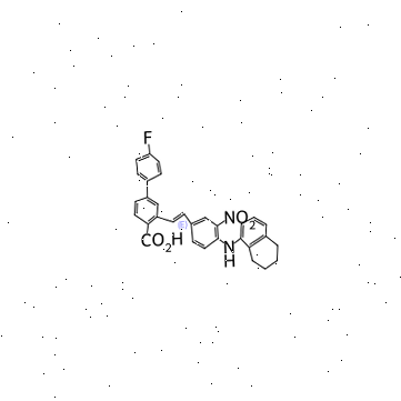 O=C(O)c1ccc(-c2ccc(F)cc2)cc1/C=C/c1ccc(Nc2cccc3c2CCCC3)c([N+](=O)[O-])c1